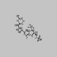 Cc1cc(-c2nnc(N[C@@H]3CCCC(=O)C3)o2)nc2c(C(C)(C)C)cc(NCC(F)(F)F)cc12